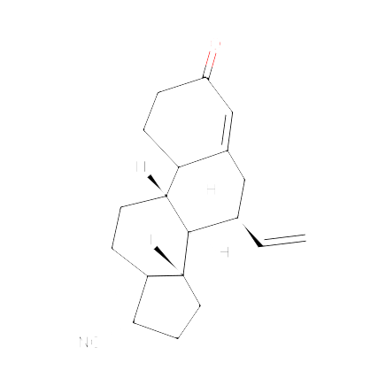 C=C[C@@H]1CC2=CC(=O)CC[C@@H]2[C@H]2CC[C@]3(C)[C@@H](C#N)CC[C@H]3[C@@H]21